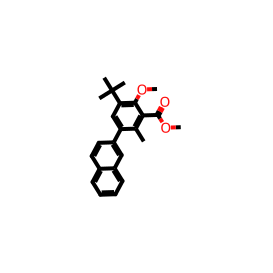 COC(=O)c1c(C)c(-c2ccc3ccccc3c2)cc(C(C)(C)C)c1OC